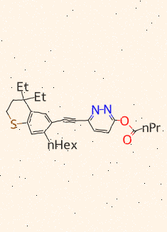 CCCCCCc1cc2c(cc1C#Cc1ccc(OC(=O)CCC)nn1)C(CC)(CC)CCS2